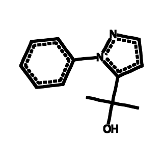 CC(C)(O)c1ccnn1-c1ccccc1